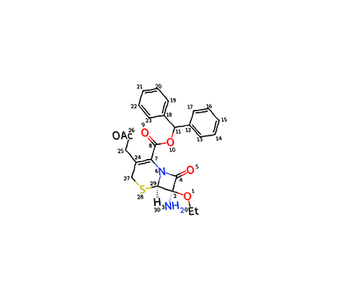 CCO[C@]1(N)C(=O)N2C(C(=O)OC(c3ccccc3)c3ccccc3)=C(COC(C)=O)CS[C@@H]21